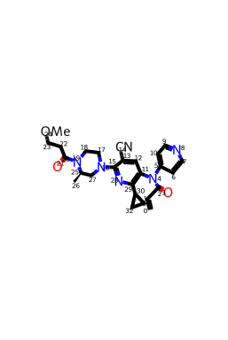 C=CC(=O)N(c1ccncc1)c1cc(C#N)c(N2CCN(C(=O)CCOC)[C@H](C)C2)nc1C1CC1